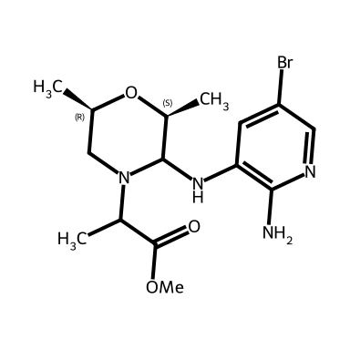 COC(=O)C(C)N1C[C@@H](C)O[C@@H](C)C1Nc1cc(Br)cnc1N